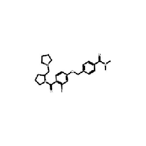 CN(C)C(=O)c1ccc(COc2ccc(C(=O)N3CCCC3CN3CCCC3)c(F)c2)cc1